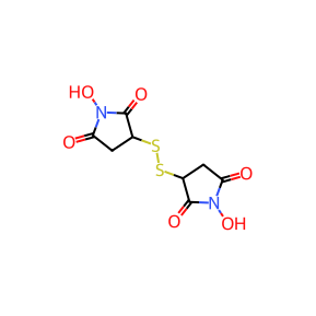 O=C1CC(SSC2CC(=O)N(O)C2=O)C(=O)N1O